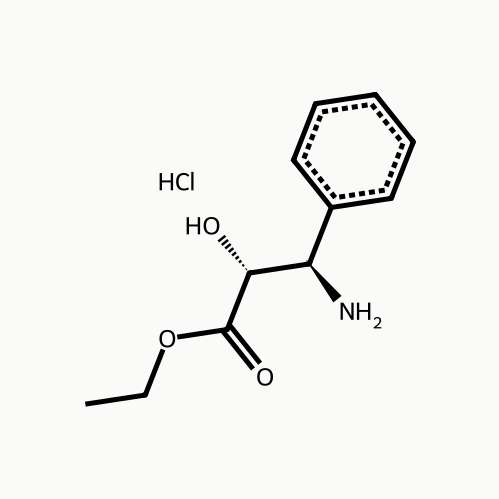 CCOC(=O)[C@H](O)[C@H](N)c1ccccc1.Cl